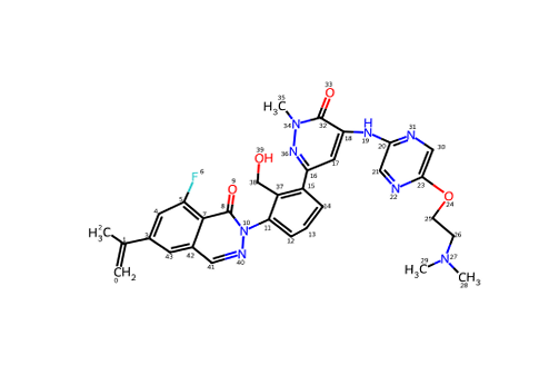 C=C(C)c1cc(F)c2c(=O)n(-c3cccc(-c4cc(Nc5cnc(OCCN(C)C)cn5)c(=O)n(C)n4)c3CO)ncc2c1